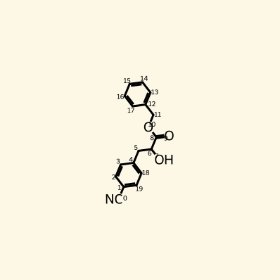 N#Cc1ccc(CC(O)C(=O)OCc2ccccc2)cc1